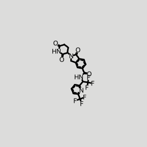 O=C1CCC(N2Cc3cc(C(=O)NC(c4cccc(C(F)(F)F)n4)C(F)(F)F)ccc3C2=O)C(=O)N1